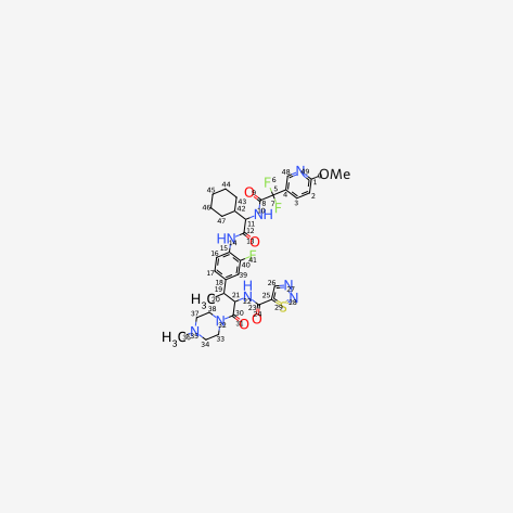 COc1ccc(C(F)(F)C(=O)NC(C(=O)Nc2ccc(C(C)C(NC(=O)c3cnns3)C(=O)N3CCN(C)CC3)cc2F)C2CCCCC2)cn1